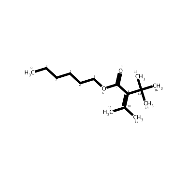 CCCCCCOC(=O)C(=C(C)C)C(C)(C)C